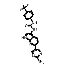 Nc1ncc(-c2ccc3c(NC(=O)Nc4ccc(C(F)(F)F)cc4)c[nH]c3n2)cn1